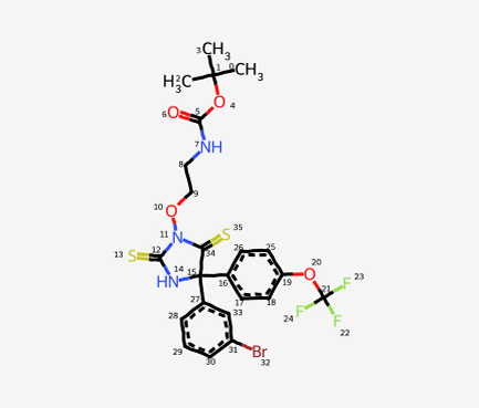 CC(C)(C)OC(=O)NCCON1C(=S)NC(c2ccc(OC(F)(F)F)cc2)(c2cccc(Br)c2)C1=S